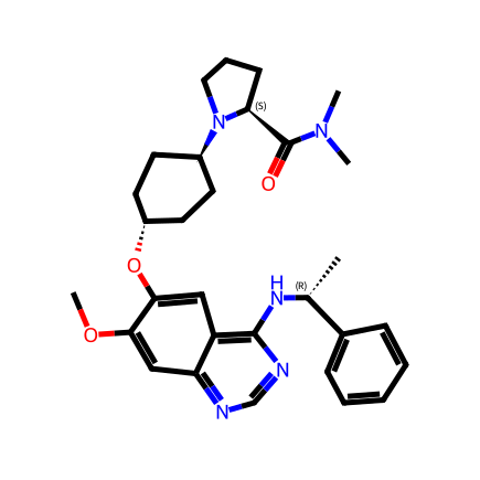 COc1cc2ncnc(N[C@H](C)c3ccccc3)c2cc1O[C@H]1CC[C@H](N2CCC[C@H]2C(=O)N(C)C)CC1